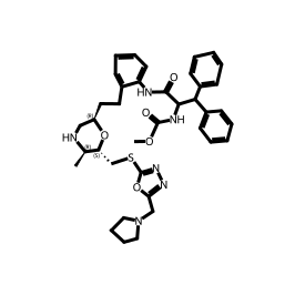 COC(=O)NC(C(=O)Nc1ccccc1CC[C@@H]1CN[C@H](C)[C@@H](CSc2nnc(CN3CCCC3)o2)O1)C(c1ccccc1)c1ccccc1